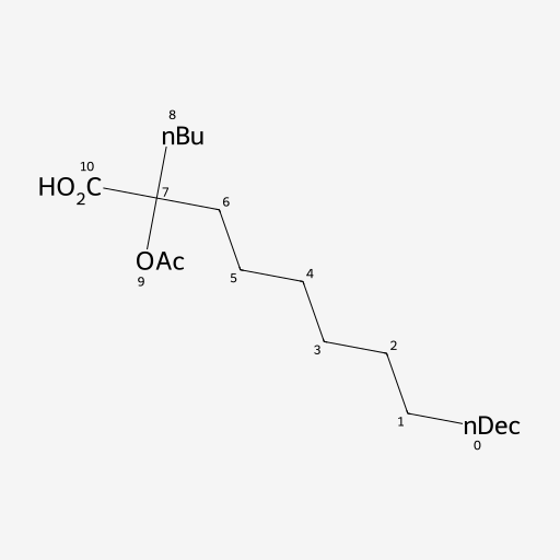 CCCCCCCCCCCCCCCCC(CCCC)(OC(C)=O)C(=O)O